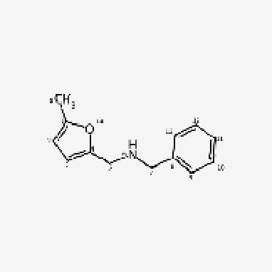 Cc1ccc(CNCc2ccccc2)o1